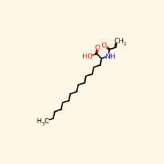 C=CC(=O)NC(CCCCCCCCCCCCCC)C(=O)O